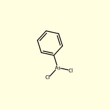 Cl[As](Cl)c1ccccc1